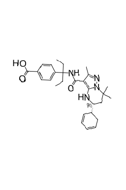 CCC(CC)(NC(=O)c1c(C)nn2c1N[C@@H](C1C=CC=CC1)CC2(C)C)c1ccc(C(=O)O)cc1